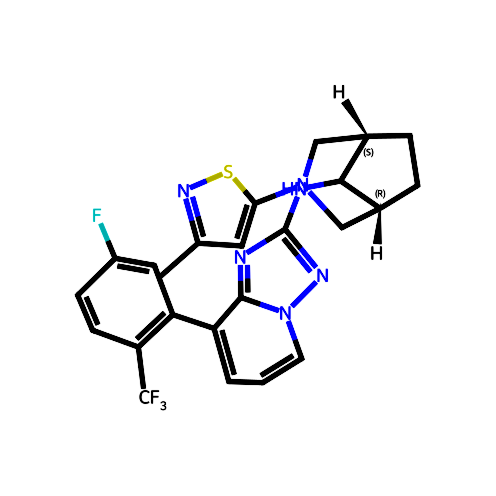 Cc1cc(N2C[C@H]3CC[C@@H](C2)C3Nc2nc3c(-c4cc(F)ccc4C(F)(F)F)cccn3n2)sn1